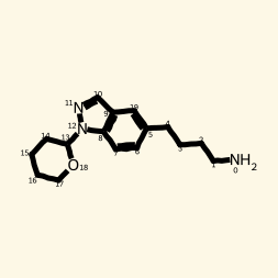 NCCCCc1ccc2c(cnn2C2CCCCO2)c1